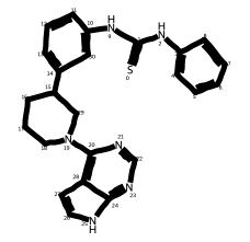 S=C(Nc1ccccc1)Nc1cccc(C2CCCN(c3ncnc4[nH]ccc34)C2)c1